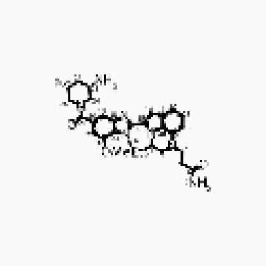 CCC1CN(CCC(N)=O)c2cccc3cc(-c4nc5cc(C(=O)N6C[C@H](N)C[C@@H](F)C6)cc(OC)c5n4C)n1c23